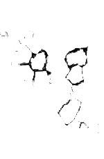 N[C@@H]1CCCN([C@@H]2Cc3ccccc3[C@H]2Oc2ccc(S(N)(=O)=O)c(Cl)c2Cl)C1